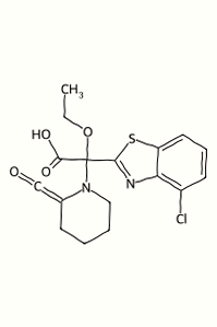 CCOC(C(=O)O)(c1nc2c(Cl)cccc2s1)N1CCCCC1=C=O